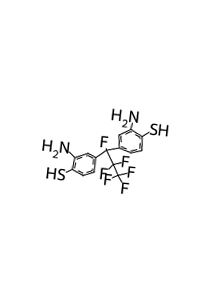 Nc1cc(C(F)(c2ccc(S)c(N)c2)C(F)(F)C(F)(F)F)ccc1S